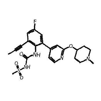 CC#Cc1cc(F)cc(-c2ccnc(OC3CCN(C)CC3)c2)c1NC(=O)NS(C)(=O)=O